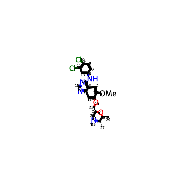 COc1cc2c(Nc3ccc(Cl)c(Cl)c3)ncnc2cc1OC[C@@H]1CN(C)[C@@H](C)[C@H](C)O1